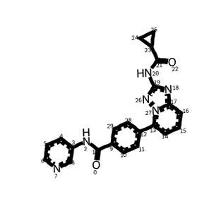 O=C(Nc1cccnc1)c1ccc(-c2cccc3nc(NC(=O)C4CC4)nn23)cc1